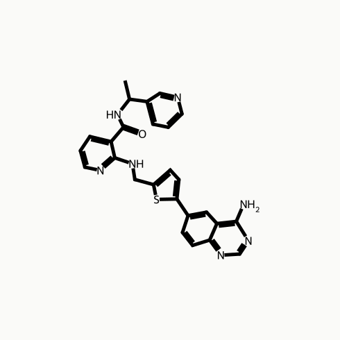 CC(NC(=O)c1cccnc1NCc1ccc(-c2ccc3ncnc(N)c3c2)s1)c1cccnc1